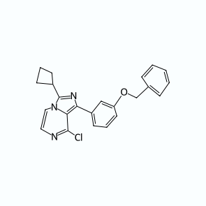 Clc1nccn2c(C3CCC3)nc(-c3cccc(OCc4ccccc4)c3)c12